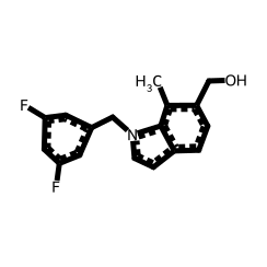 Cc1c(CO)ccc2ccn(Cc3cc(F)cc(F)c3)c12